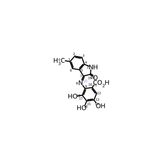 Cc1ccc2c(c1)/C(=N/c1c(C(=O)O)cc(O)c(O)c1O)C(=O)N2